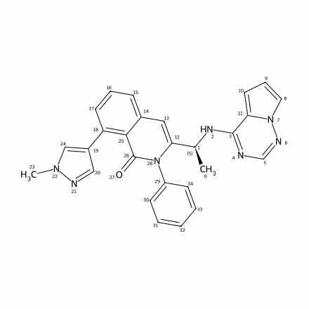 C[C@H](Nc1ncnn2cccc12)c1cc2cccc(-c3cnn(C)c3)c2c(=O)n1-c1ccccc1